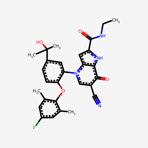 CCNC(=O)c1cc2c([nH]1)c(=O)c(C#N)cn2-c1cc(C(C)(C)O)ccc1Oc1c(C)cc(F)cc1C